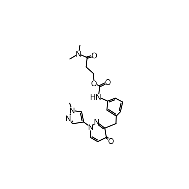 CN(C)C(=O)CCOC(=O)Nc1cccc(Cc2nn(-c3cnn(C)c3)ccc2=O)c1